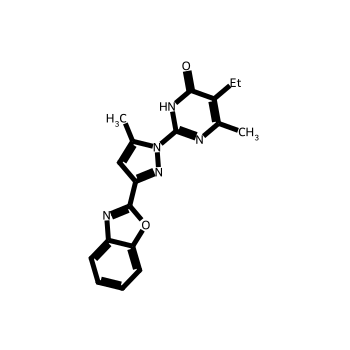 CCc1c(C)nc(-n2nc(-c3nc4ccccc4o3)cc2C)[nH]c1=O